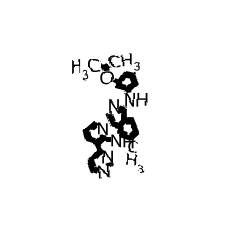 Cc1ccc2c(Nc3cccc(OC(C)C)c3)nccc2c1Nc1ncccc1-c1ccncn1